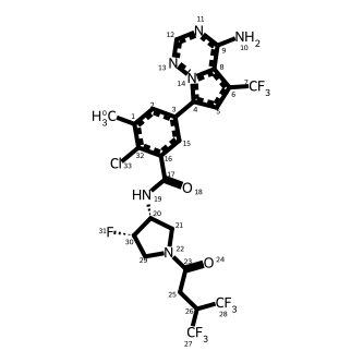 Cc1cc(-c2cc(C(F)(F)F)c3c(N)ncnn23)cc(C(=O)N[C@@H]2CN(C(=O)CC(C(F)(F)F)C(F)(F)F)C[C@@H]2F)c1Cl